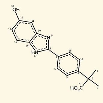 CC(C)(C(=O)O)c1ccc(-c2nc3cc(O)ccc3[nH]2)cc1